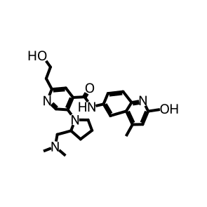 Cc1cc(O)nc2ccc(NC(=O)c3cc(CCO)ncc3N3CCCC3CN(C)C)cc12